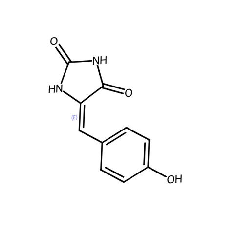 O=C1NC(=O)/C(=C\c2ccc(O)cc2)N1